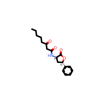 CCCCCC(=O)CC(=O)N[C@@H]1C[C@@H](c2ccccc2)OC1=O